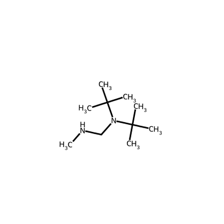 CNCN(C(C)(C)C)C(C)(C)C